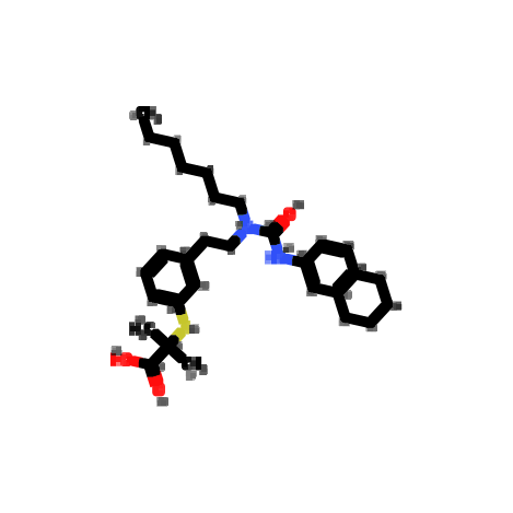 CCCCCCCN(CCc1cccc(SC(C)(C)C(=O)O)c1)C(=O)Nc1ccc2c(c1)CCCC2